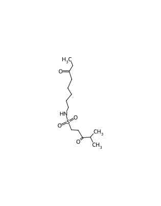 CCC(=O)CCCCCNS(=O)(=O)CCC(=O)C(C)C